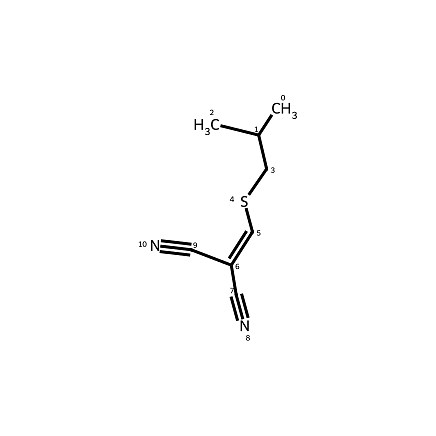 CC(C)CSC=C(C#N)C#N